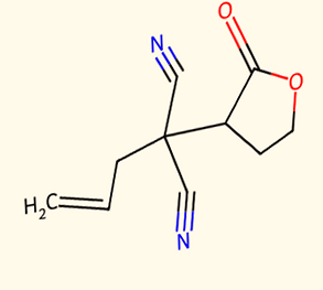 C=CCC(C#N)(C#N)C1CCOC1=O